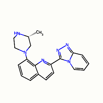 C[C@@H]1CN(c2cccc3ccc(-c4nnc5ccccn45)nc23)CCN1